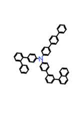 c1ccc(-c2ccc(-c3ccc(N(c4ccc(-c5cccc(-c6cccc7ccccc67)c5)cc4)c4ccc(-c5ccccc5-c5ccccc5)cc4)cc3)cc2)cc1